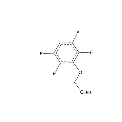 O=CCOc1c(F)c(F)cc(F)c1F